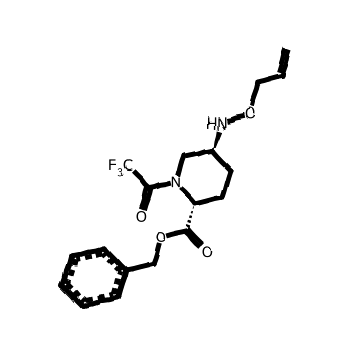 C=CCON[C@H]1CC[C@H](C(=O)OCc2ccccc2)N(C(=O)C(F)(F)F)C1